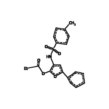 CCC(=O)Oc1oc(-c2ccccc2)cc1NS(=O)(=O)c1ccc(C)cc1